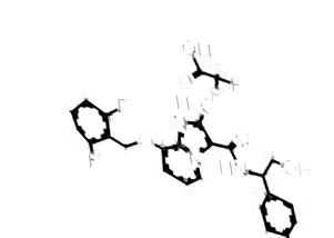 Cc1nc2c(OCc3c(F)cccc3F)cccn2c1C(=O)NC(CO)c1ccc(F)cc1.O=C(O)C(F)(F)F